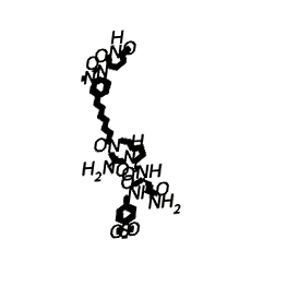 Cn1c(=O)n(C2CCC(=O)NC2=O)c2ccc(CCCCCCC(=O)N3CC[C@H]4CC[C@@H](C(=O)N[C@@H](CCC(N)=O)C(=O)NCc5ccc(S(C)(=O)=O)cc5)N4C(=O)[C@@H](N)C3)cc21